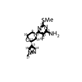 CSc1nc(N)c(F)c(N2CCO[C@@H](c3cnn(C)c3)C2)n1